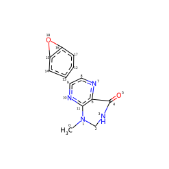 CN1CNC(=O)c2nccnc21.c1ccc2c(c1)O2